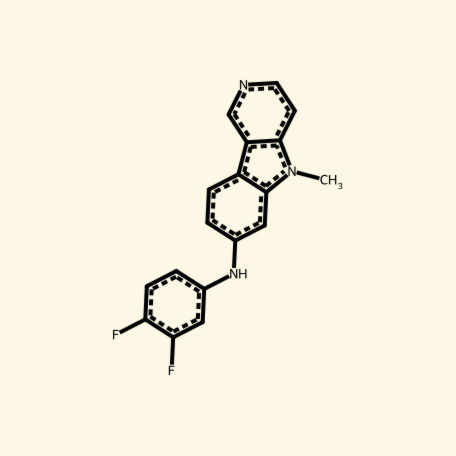 Cn1c2ccncc2c2ccc(Nc3ccc(F)c(F)c3)cc21